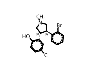 CN1C[C@@H](c2cc(Cl)ccc2O)[C@H](c2ccccc2Br)C1